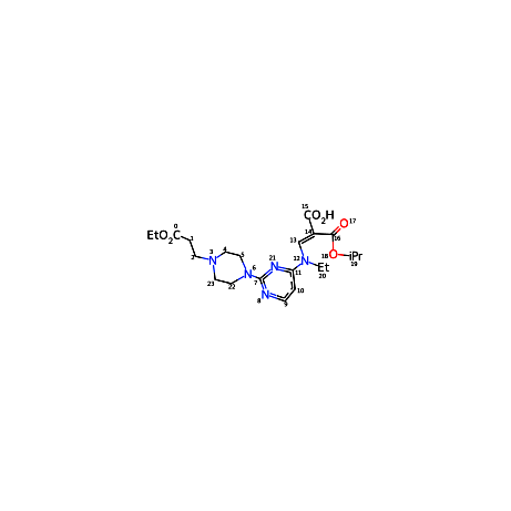 CCOC(=O)CCN1CCN(c2nccc(N(C=C(C(=O)O)C(=O)OC(C)C)CC)n2)CC1